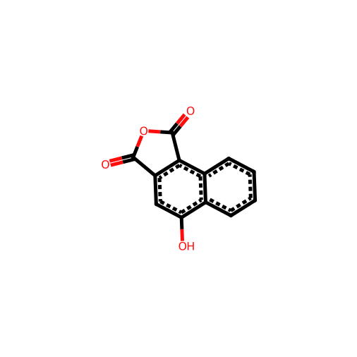 O=C1OC(=O)c2c1cc(O)c1ccccc21